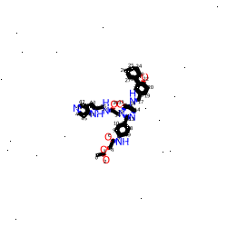 CC(=O)OCC(=O)Nc1ccc(-c2ncc(NCc3ccc4oc5ccccc5c4c3)c(=O)n2CC(=O)NCc2cc3cnccc3[nH]2)cc1